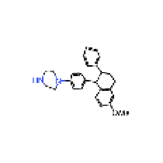 COc1ccc2c(c1)CCC(c1ccccc1)C2c1ccc(N2CCNCC2)cc1